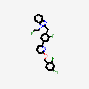 FCCn1c(Cc2ccc(-c3cccc(OCc4ccc(Cl)cc4F)n3)cc2F)nc2ccccc21